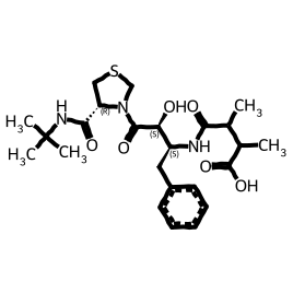 CC(C(=O)O)C(C)C(=O)N[C@@H](Cc1ccccc1)[C@H](O)C(=O)N1CSC[C@H]1C(=O)NC(C)(C)C